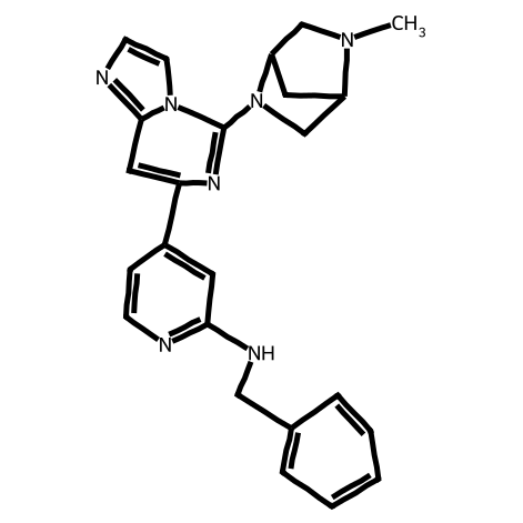 CN1CC2CC1CN2c1nc(-c2ccnc(NCc3ccccc3)c2)cc2nccn12